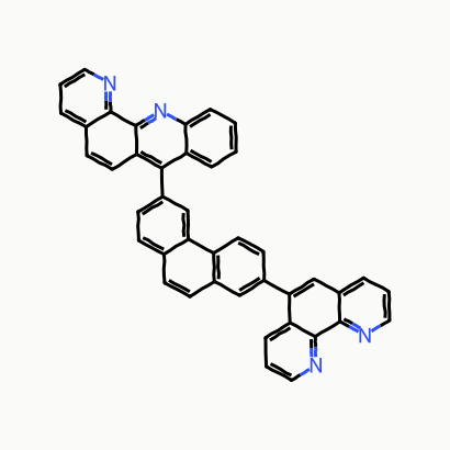 c1cnc2c(c1)cc(-c1ccc3c(ccc4ccc(-c5c6ccccc6nc6c5ccc5cccnc56)cc43)c1)c1cccnc12